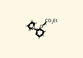 CCOC(=O)COc1ccccc1-n1cccc1